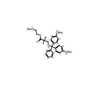 COCCSC(=O)C(C)(C)COC(c1ccccc1)(c1ccc(OC)cc1)c1ccc(OC)cc1